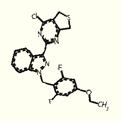 CCOc1cc(F)c(Cn2nc(-c3nc(Cl)c4c(n3)CSC4)c3ccccc32)c(F)c1